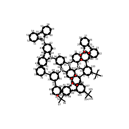 CC(C)(C)c1cc(-c2ccccc2)c(N2c3cc(-n4c5ccccc5c5ccccc54)ccc3B3c4ccc(-n5c6ccccc6c6cc(-n7c8ccccc8c8ccccc87)ccc65)cc4N(c4cc(-c5ccccc5)cc(-c5ccccc5)c4)c4cc(-n5c6ccc(C(C)(C)C)cc6c6cc(C(C)(C)C)ccc65)cc2c43)c(-c2ccccc2)c1